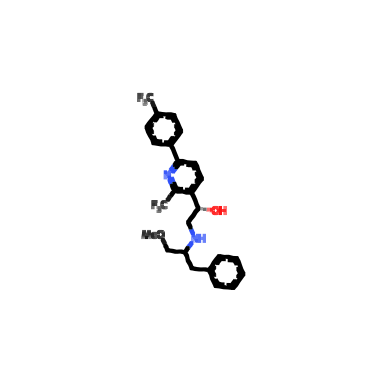 COCC(Cc1ccccc1)NC[C@@H](O)c1ccc(-c2ccc(C(F)(F)F)cc2)nc1C(F)(F)F